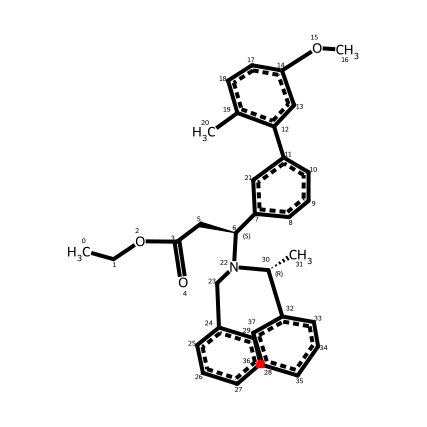 CCOC(=O)C[C@@H](c1cccc(-c2cc(OC)ccc2C)c1)N(Cc1ccccc1)[C@H](C)c1ccccc1